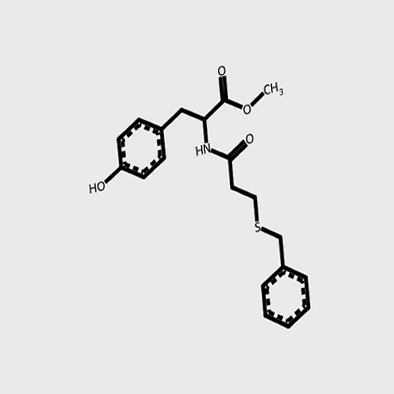 COC(=O)C(Cc1ccc(O)cc1)NC(=O)CCSCc1ccccc1